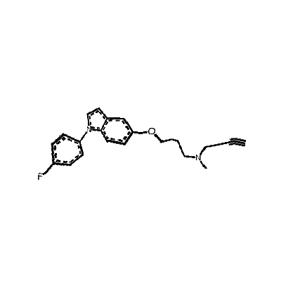 C#CCN(C)CCCOc1ccc2c(ccn2-c2ccc(F)cc2)c1